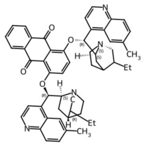 CCC1C[N@@]2CCC1C[C@H]2[C@H](Oc1ccc(O[C@H](c2ccnc3ccc(C)cc23)[C@@H]2C[C@H]3CCN2CC3CC)c2c1C(=O)c1ccccc1C2=O)c1ccnc2ccc(C)cc12